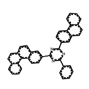 c1ccc(-c2nc(-c3ccc4c(ccc5ccccc54)c3)nc(-c3ccc4c(ccc5ccc6ccccc6c54)c3)n2)cc1